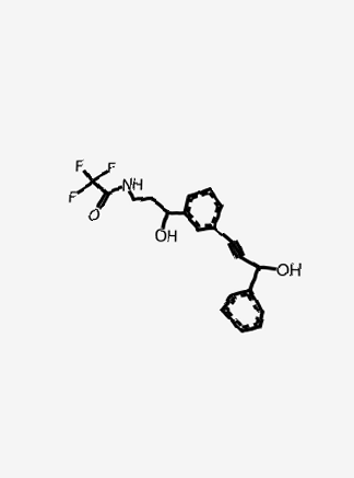 O=C(NCCC(O)c1cccc(C#CC(O)c2ccccc2)c1)C(F)(F)F